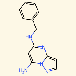 Nc1cc(NCc2ccccc2)nc2ccnn12